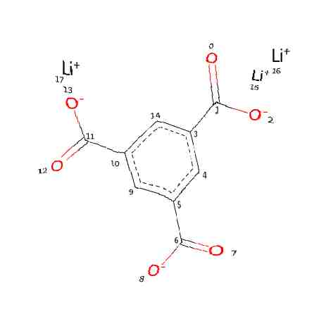 O=C([O-])c1cc(C(=O)[O-])cc(C(=O)[O-])c1.[Li+].[Li+].[Li+]